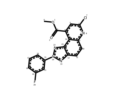 COC(=O)c1cc(Cl)nc2ccc3nn(-c4cccc(F)c4)nc3c12